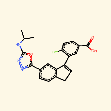 CC(C)Nc1nnc(-c2ccc3c(c2)C(c2cc(C(=O)O)ccc2F)=CC3)o1